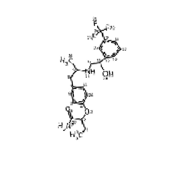 CCC(Oc1ccc(CC(C)NCC(O)c2cccc(C(F)(F)F)c2)cc1)C(N)=O